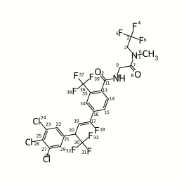 CN(CC(F)(F)F)C(=O)CNC(=O)c1ccc(C(F)=CC(c2cc(Cl)c(Cl)c(Cl)c2)C(F)(F)F)cc1C(F)(F)F